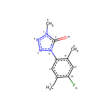 Cc1cc(-n2nnn(C)c2=O)c(C)cc1F